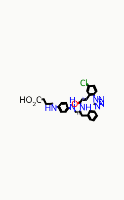 O=C(O)CCCNc1ccc(NC[C@H](Cc2ccccc2)NC(=O)/C=C/c2cc(Cl)ccc2-n2cnnn2)cc1